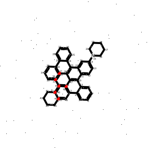 c1ccc(-c2ccccc2-c2c3ccc(N4CCCCC4)cc3c(-c3ccccc3-c3ccccc3)c3ccc(N4CCCCC4)cc23)cc1